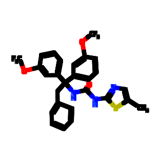 Cc1cnc(NC(=O)NC(Cc2ccccc2)(c2cccc(OC(F)(F)F)c2)c2cccc(OC(F)(F)F)c2)s1